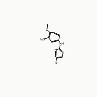 COc1ccc(Nc2ncc(Br)cn2)cc1O